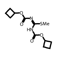 CSC(=NC(=O)OC1CCC1)NC(=O)OC1CCC1